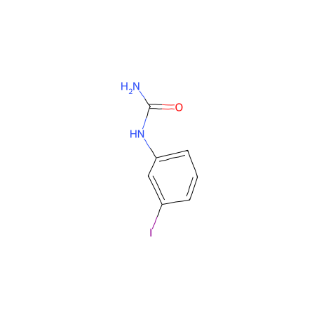 NC(=O)Nc1cccc(I)c1